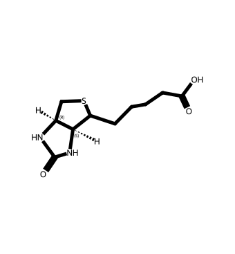 O=C(O)CCCCC1SC[C@@H]2NC(=O)N[C@H]12